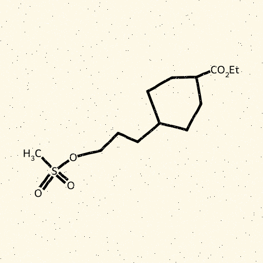 CCOC(=O)C1CCC(CCCOS(C)(=O)=O)CC1